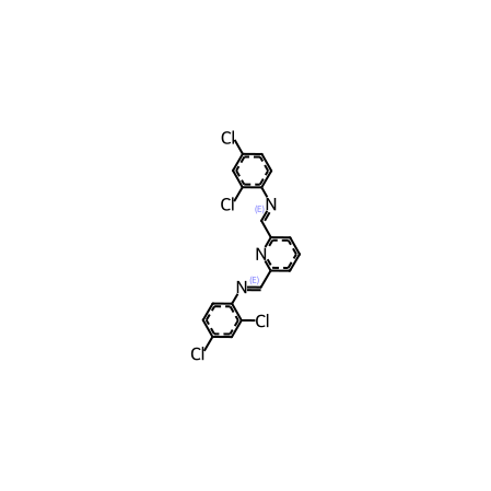 Clc1ccc(/N=C/c2cccc(/C=N/c3ccc(Cl)cc3Cl)n2)c(Cl)c1